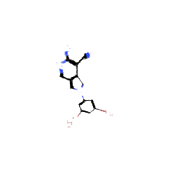 N#Cc1c(N)ncc2c1CN(c1cc(Br)cc(Br)c1)C2